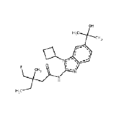 CCC(C)(CF)CC(=O)Nc1nc2ccc(C(C)(C)O)cc2n1C1CCC1